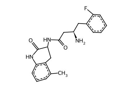 Cc1cccc2c1CC(NC(=O)C[C@H](N)Cc1ccccc1F)C(=O)N2